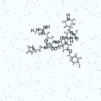 Cc1ccc(CO[C@@H]2C[C@@H](C(=O)N[C@@H](CCCNC(=N)N)C(=O)C(=O)NCCc3cccs3)N(C(=O)[C@@H](CCC3CCNCC3)NS(C)(=O)=O)C2)cc1